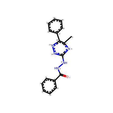 Cc1nc(NNC(=O)c2ccccc2)nnc1-c1ccccc1